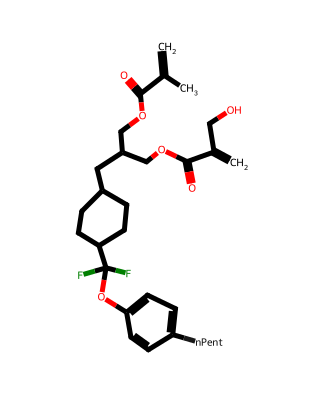 C=C(C)C(=O)OCC(COC(=O)C(=C)CO)CC1CCC(C(F)(F)Oc2ccc(CCCCC)cc2)CC1